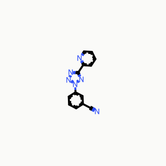 N#Cc1cccc(-n2nnc(-c3ccccn3)n2)c1